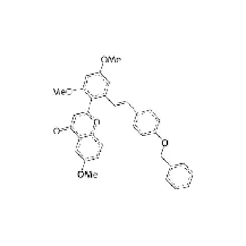 COc1cc(C=Cc2ccc(OCc3ccccc3)cc2)c(-c2cc(=O)c3cc(OC)ccc3o2)c(OC)c1